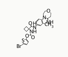 Cc1cc(NC(=O)C2(NC(=O)Oc3ccc(Br)s3)CCC2)ccc1N1CCOCCC1=N